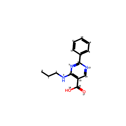 CCCNc1nc(-c2ccccc2)ncc1C(=O)O